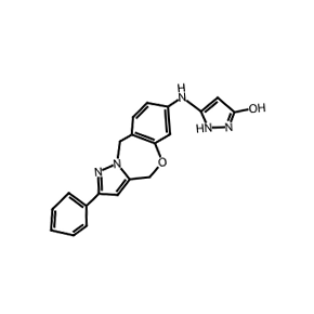 Oc1cc(Nc2ccc3c(c2)OCc2cc(-c4ccccc4)nn2C3)[nH]n1